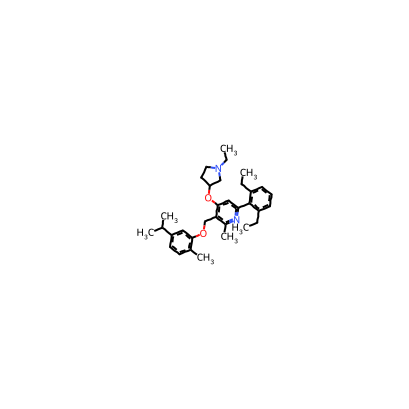 CCc1cccc(CC)c1-c1cc(OC2CCN(CC)C2)c(COc2cc(C(C)C)ccc2C)c(C)n1